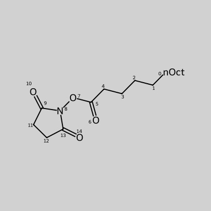 CCCCCCCCCCCCC(=O)ON1C(=O)CCC1=O